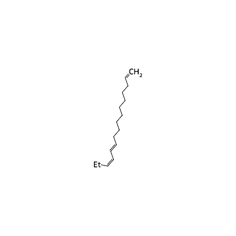 C=CCCCCCCCC/C=C/C=C\CC